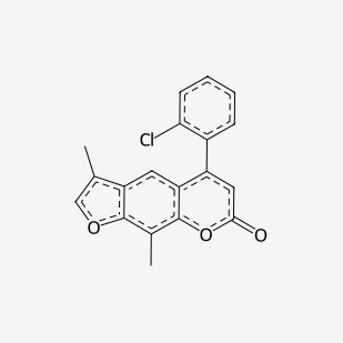 Cc1coc2c(C)c3oc(=O)cc(-c4ccccc4Cl)c3cc12